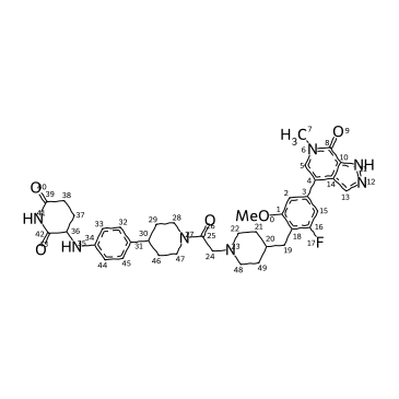 COc1cc(-c2cn(C)c(=O)c3[nH]ncc23)cc(F)c1CC1CCN(CC(=O)N2CCC(c3ccc(NC4CCC(=O)NC4=O)cc3)CC2)CC1